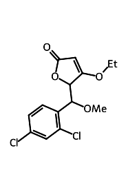 CCOC1=CC(=O)OC1C(OC)c1ccc(Cl)cc1Cl